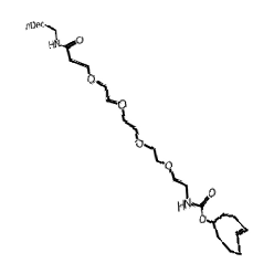 CCCCCCCCCCCNC(=O)CCOCCOCCOCCOCCNC(=O)OC1CC/C=C/CCC1